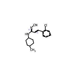 CC1CCC(NC(/C=C/c2ccccc2Cl)=N/C#N)CC1